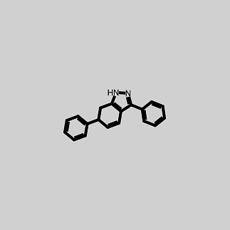 C1=CC(c2ccccc2)Cc2[nH]nc(-c3ccccc3)c21